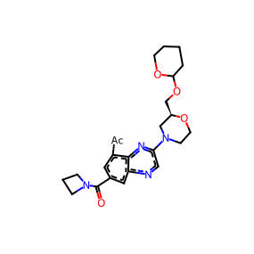 CC(=O)c1cc(C(=O)N2CCC2)cc2ncc(N3CCO[C@H](COC4CCCCO4)C3)nc12